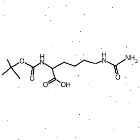 CC(C)(C)OC(=O)NC(CCCCNC(N)=O)C(=O)O